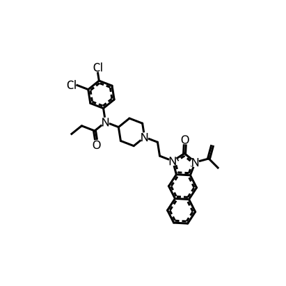 C=C(C)n1c(=O)n(CCN2CCC(N(C(=O)CC)c3ccc(Cl)c(Cl)c3)CC2)c2cc3ccccc3cc21